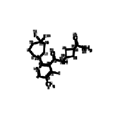 Cc1c(C(F)(F)F)cnc(N2CCCC(F)(F)CC2)c1C(=O)NC1CC(C(N)=O)C1